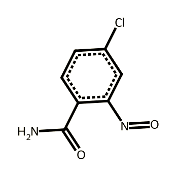 NC(=O)c1ccc(Cl)cc1N=O